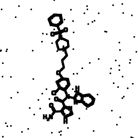 NC(=O)c1[nH]cnc1C(=O)N(c1nc2ccccc2[nH]1)c1ccc(OCCCN2CCN(S(=O)(=O)c3ccccc3)CC2)cc1Cl